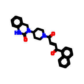 O=C(/C=C/C(=O)N1CCC(N2Cc3ccccc3NC2=O)CC1)c1cccc2ccccc12